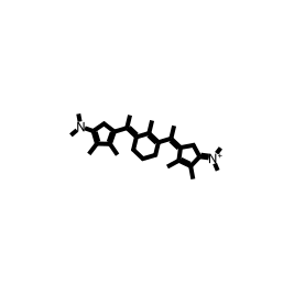 CC1=C(C)/C(=C(/C)C2=C(C)/C(=C(\C)C3=C(C)C(C)=C(N(C)C)C3)CCC2)CC1=[N+](C)C